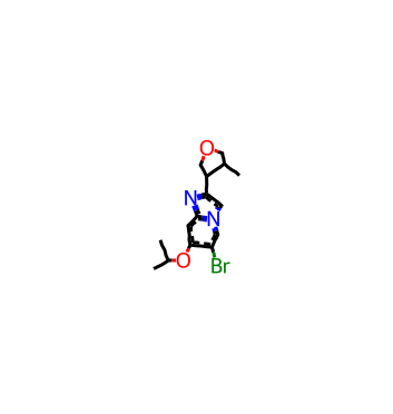 CC(C)Oc1cc2nc(C3COCC3C)cn2cc1Br